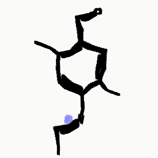 C/C=N/c1cc(C)c(C=O)cc1C